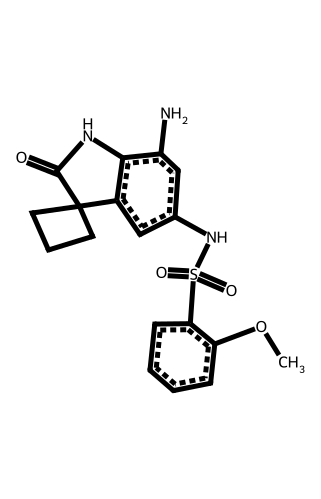 COc1ccccc1S(=O)(=O)Nc1cc(N)c2c(c1)C1(CCC1)C(=O)N2